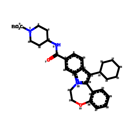 CCOC(=O)N1CCC(NC(=O)c2ccc3c(C4CCCCC4)c4n(c3c2)CCOc2ccccc2-4)CC1